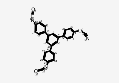 N#COc1ccc(-c2cc(-c3ccc(N=C=O)cc3)cc(-c3ccc(N=C=O)cc3)c2)cc1